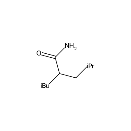 CCC(C)C(CC(C)C)C(N)=O